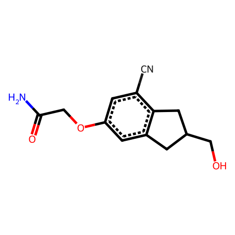 N#Cc1cc(OCC(N)=O)cc2c1CC(CO)C2